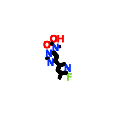 Cc1cc(-c2cc(N(C)C(=O)O)ncn2)cnc1F